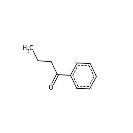 CCCC(=O)c1[c]cc[c]c1